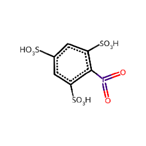 O=I(=O)c1c(S(=O)(=O)O)cc(S(=O)(=O)O)cc1S(=O)(=O)O